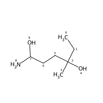 CCC(C)(O)CCC(N)O